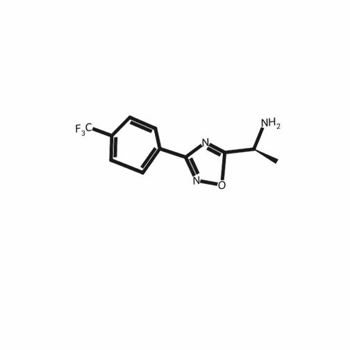 C[C@H](N)c1nc(-c2ccc(C(F)(F)F)cc2)no1